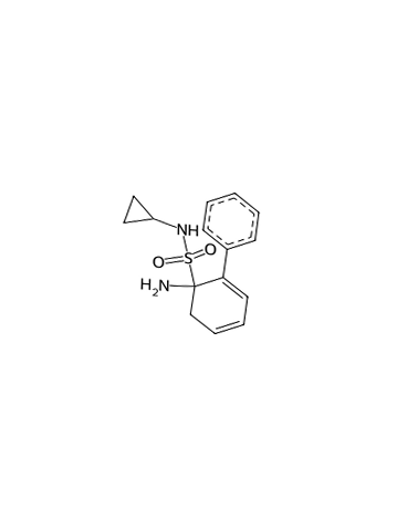 NC1(S(=O)(=O)NC2CC2)CC=CC=C1c1ccccc1